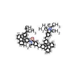 C=C1c2cc(Cc3ccc(C4(c5ccc(Cc6ccc7c(=C)n(C(C)CC)c(=C)c7c6)cc5)c5ccccc5-c5ccccc54)cc3)ccc2C(=O)N1c1ccc(C2(c3ccc(C(C)CC)cc3)c3ccccc3-c3ccccc32)cc1